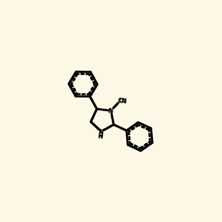 N#CN1C(c2ccccc2)CNC1c1ccccc1